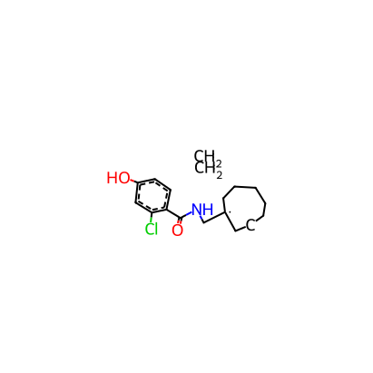 O=C(NC[C]1CCCCCCC1)c1ccc(O)cc1Cl.[CH2].[CH2]